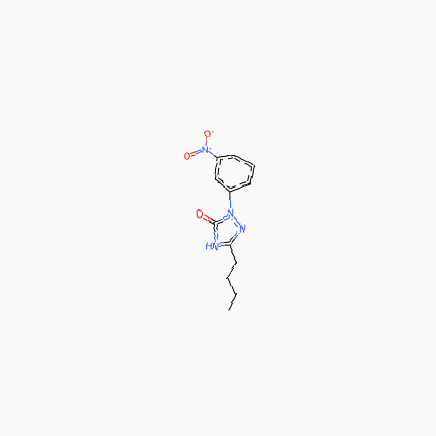 CCCCc1nn(-c2cccc([N+](=O)[O-])c2)c(=O)[nH]1